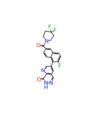 O=C(c1ccc2c(-c3cnc4c(=O)[nH]ncc4c3)c(F)ccc2c1)N1CCC(F)(F)CC1